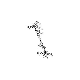 CCO[Si](CCCNCC(O)COCCCCOCC(O)CNCCC[Si](OCC)(OCC)OCC)(OCC)OCC